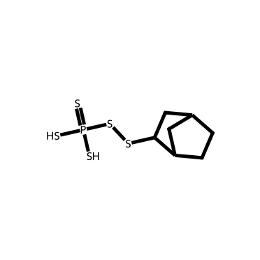 S=P(S)(S)SSC1CC2CCC1C2